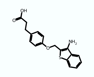 Nc1c(COc2ccc(CCC(=O)O)cc2)sc2ccccc12